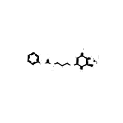 O=C(NCCCSC1=CC(=O)c2[nH]ncc2C1=O)Oc1ccccc1